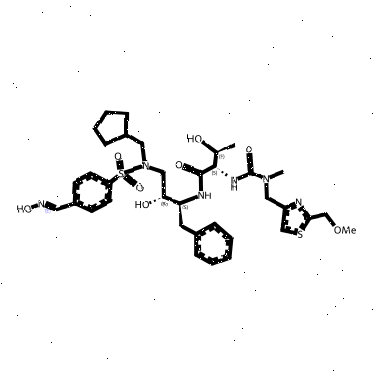 COCc1nc(CN(C)C(=O)N[C@H](C(=O)N[C@@H](Cc2ccccc2)[C@H](O)CN(CC2CCCC2)S(=O)(=O)c2ccc(/C=N/O)cc2)[C@H](C)O)cs1